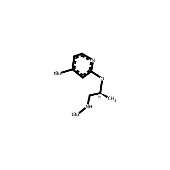 C[C@@H](CNC(C)(C)C)Oc1cc(C(C)(C)C)ccn1